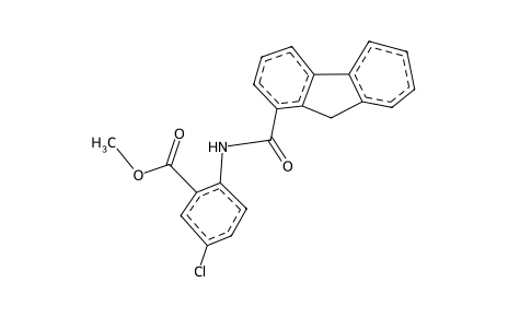 COC(=O)c1cc(Cl)ccc1NC(=O)c1cccc2c1Cc1ccccc1-2